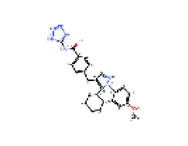 O=C(Nc1nnn[nH]1)c1ccc(Cc2cnn(-c3ccc(OC(F)(F)F)cc3)c2C2CCCCC2)cc1